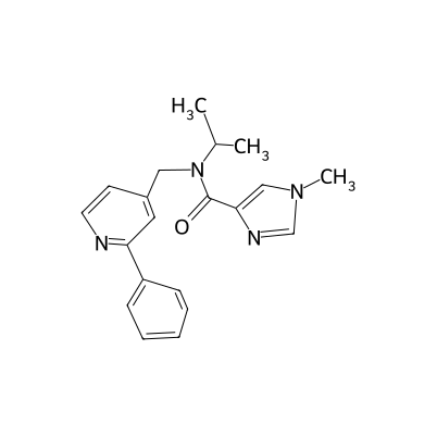 CC(C)N(Cc1ccnc(-c2ccccc2)c1)C(=O)c1cn(C)cn1